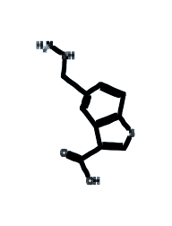 NNCc1ccc2scc(C(=O)O)c2c1